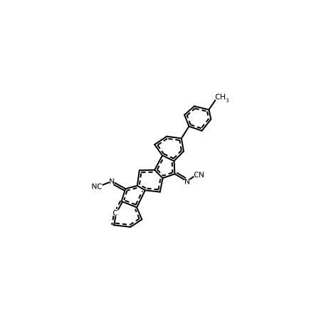 Cc1ccc(-c2ccc3c(c2)/c(=N\C#N)c2cc4c(cc23)/c(=N/C#N)c2ccccc24)cc1